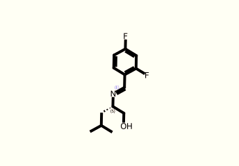 CC(C)C[C@@H](CO)/N=C/c1ccc(F)cc1F